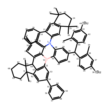 Cc1cc2c3c(c1)N(c1cc4c(cc1-c1ccccc1)C(C)(C)CCC4(C)C)c1cc(C(c4ccc(C(C)(C)C)cc4C)c4ccc(C(C)(C)C)cc4C)ccc1B3c1cc(-c3ccccc3)cc3c1C2C1(C)CCCCC31C